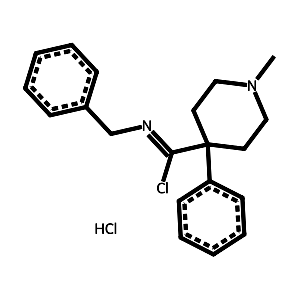 CN1CCC(C(Cl)=NCc2ccccc2)(c2ccccc2)CC1.Cl